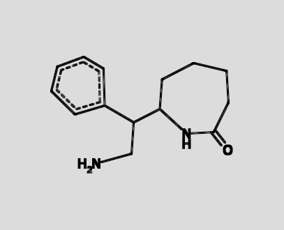 NCC(c1ccccc1)C1CCCCC(=O)N1